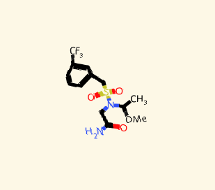 COC(C)N(CC(N)=O)S(=O)(=O)Cc1cccc(C(F)(F)F)c1